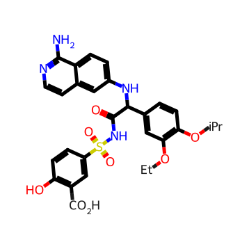 CCOc1cc(C(Nc2ccc3c(N)nccc3c2)C(=O)NS(=O)(=O)c2ccc(O)c(C(=O)O)c2)ccc1OC(C)C